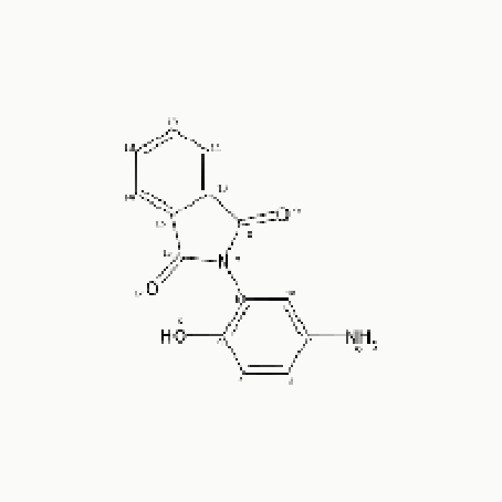 Nc1ccc(O)c(N2C(=O)c3ccccc3C2=O)c1